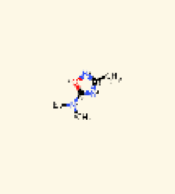 CCN(C)c1nc(C)no1